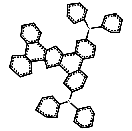 c1ccc(N(c2ccccc2)c2ccc3c4ccc(N(c5ccccc5)c5ccccc5)cc4c4cc5c6ccccc6c6ccccc6c5cc4c3c2)cc1